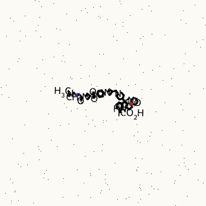 CN(C)C/C=C/C(=O)N1CC(S(=O)(=O)c2ccc(N3CC(CN4CCC([C@@](CN5CCOCC5)(c5cccc(F)c5)[C@H]5CCC[C@@H]5NC(=O)O)CC4)C3)cc2)C1